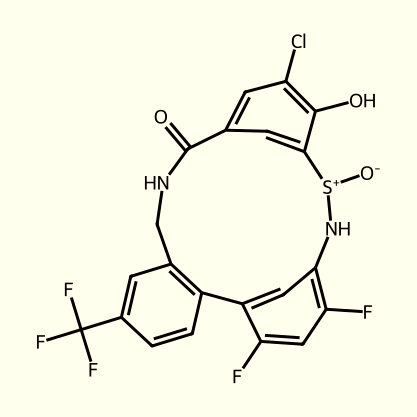 O=C1NCc2cc(C(F)(F)F)ccc2-c2cc(c(F)cc2F)N[S+]([O-])c2cc1cc(Cl)c2O